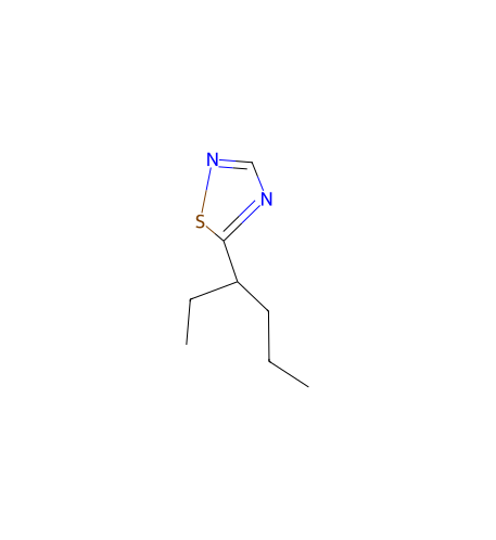 CCCC(CC)c1ncns1